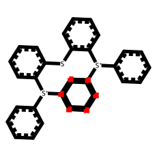 c1ccc([S+](c2ccccc2)c2ccccc2Sc2ccccc2[S+](c2ccccc2)c2ccccc2)cc1